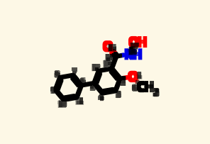 COc1ccc(-c2ccccc2)cc1C(=O)NO